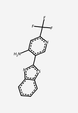 Nc1cc(C(F)(F)F)ncc1-c1nc2ccccc2s1